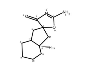 NC1=NC(=O)C2(CC3CCCC[C@@H]3C2)O1